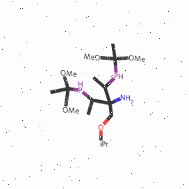 COC(C)(OC)PC(C)C(N)(COC(C)C)C(C)PC(C)(OC)OC